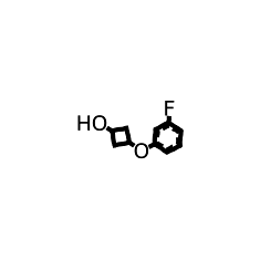 OC1CC(Oc2cccc(F)c2)C1